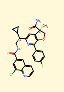 C[C@]1(C(N)=O)COc2c1cc([C@@H](CNC(=O)c1cc(Cl)c3ncccc3c1)C1CC1)nc2-c1ccc(F)cc1